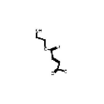 [O]C(=O)C=CC(=O)OCCO